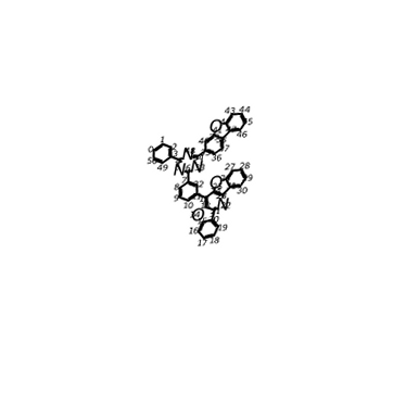 c1ccc(-c2nc(-c3cccc(-c4c5oc6ccccc6c5nc5c4oc4ccccc45)c3)nc(-c3ccc4c(c3)oc3ccccc34)n2)cc1